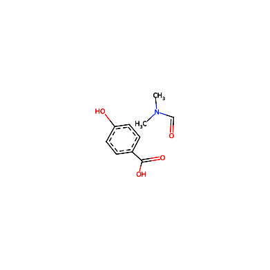 CN(C)C=O.O=C(O)c1ccc(O)cc1